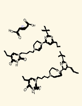 CCCc1cc(N2CCN(CCCCn3cc(CC)c(=O)[nH]c3=O)CC2)nc(C(C)(C)C)n1.CCCc1cc(N2CCN(CCCCn3cc(CC)c(=O)[nH]c3=O)CC2)nc(C(C)(C)C)n1.O=C(O)/C=C/C(=O)O